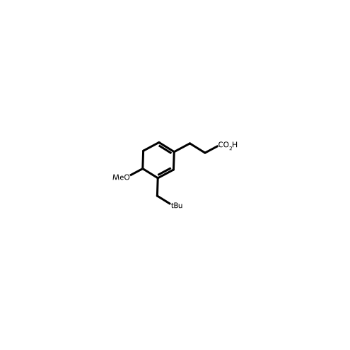 COC1CC=C(CCC(=O)O)C=C1CC(C)(C)C